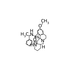 CCOc1cc2c(c(C(=O)N[C@H](C)c3ccccc3)c1)[C@H]1C[C@@H]3NCCC[C@@H]3CN1CC2